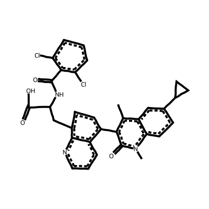 Cc1c(-c2ccc(CC(NC(=O)c3c(Cl)cccc3Cl)C(=O)O)c3ncccc23)c(=O)n(C)c2ccc(C3CC3)cc12